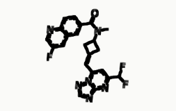 CN(C(=O)c1ccc2ncc(F)cc2c1)C1CC(=Cc2cc(C(F)F)nc3ncnn23)C1